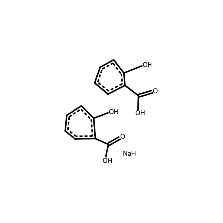 O=C(O)c1ccccc1O.O=C(O)c1ccccc1O.[NaH]